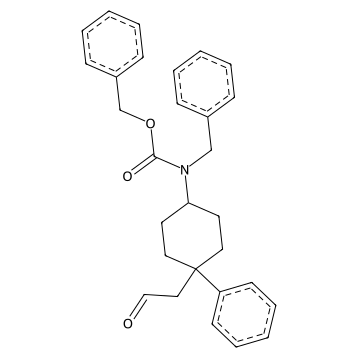 O=CCC1(c2ccccc2)CCC(N(Cc2ccccc2)C(=O)OCc2ccccc2)CC1